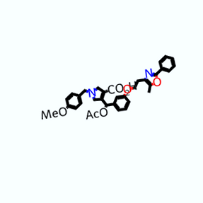 COc1ccc(CN2CC(C(=O)O)=C(C(OC(C)=O)c3cccc(OCCc4nc(-c5ccccc5)oc4C)c3)C2)cc1